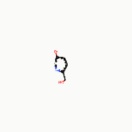 [O]c1ccc(CO)nc1